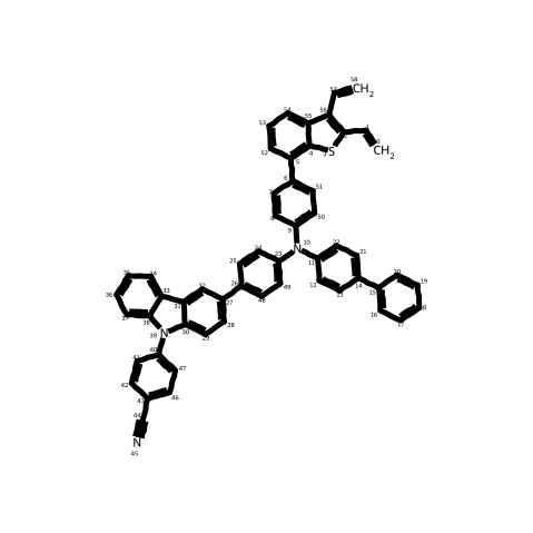 C=Cc1sc2c(-c3ccc(N(c4ccc(-c5ccccc5)cc4)c4ccc(-c5ccc6c(c5)c5ccccc5n6-c5ccc(C#N)cc5)cc4)cc3)cccc2c1C=C